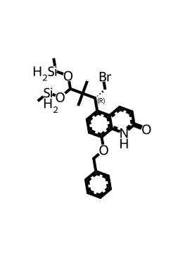 C[SiH2]OC(O[SiH2]C)C(C)(C)[C@H](CBr)c1ccc(OCc2ccccc2)c2[nH]c(=O)ccc12